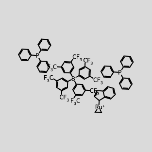 C1=C[CH]([Ru+]2[CH2][CH2]2)c2ccccc21.FC(F)(F)c1cc([B-](c2cc(C(F)(F)F)cc(C(F)(F)F)c2)(c2cc(C(F)(F)F)cc(C(F)(F)F)c2)c2cc(C(F)(F)F)cc(C(F)(F)F)c2)cc(C(F)(F)F)c1.c1ccc(P(c2ccccc2)c2ccccc2)cc1.c1ccc(P(c2ccccc2)c2ccccc2)cc1